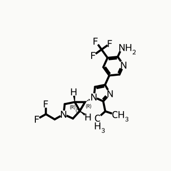 CC(C)c1nc(-c2cnc(N)c(C(F)(F)F)c2)cn1[C@@H]1[C@@H]2CN(CC(F)F)C[C@@H]21